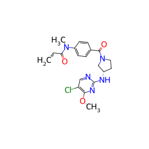 C=CC(=O)N(C)c1ccc(C(=O)N2CC[C@H](Nc3ncc(Cl)c(OC)n3)C2)cc1